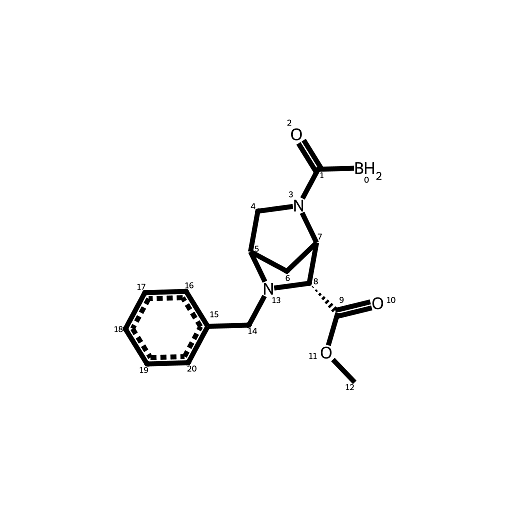 BC(=O)N1CC2CC1[C@H](C(=O)OC)N2Cc1ccccc1